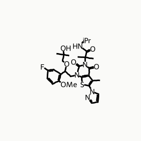 COc1ccc(F)cc1C(Cn1c(=O)n(C(C)(C)C(=O)NC(C)C)c(=O)c2c(C)c(-n3cccn3)sc21)OCC(C)(C)O